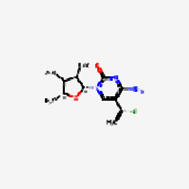 C=C(Cl)c1cn([C@@H]2O[C@H](C)C(OC(C)=O)C2OC(C)=O)c(=O)nc1N